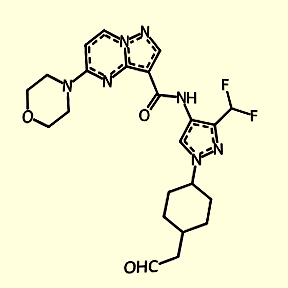 O=CCC1CCC(n2cc(NC(=O)c3cnn4ccc(N5CCOCC5)nc34)c(C(F)F)n2)CC1